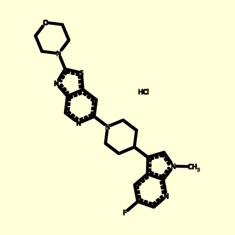 Cl.Cn1cc(C2CCN(c3cc4sc(N5CCOCC5)nc4cn3)CC2)c2cc(F)cnc21